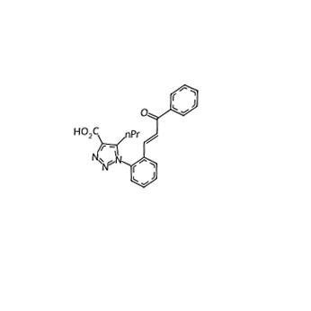 CCCc1c(C(=O)O)nnn1-c1ccccc1C=CC(=O)c1ccccc1